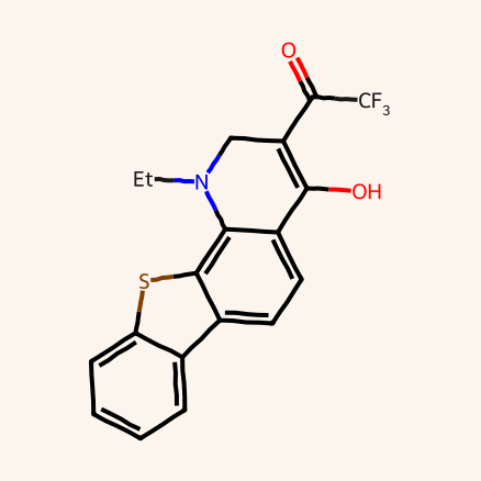 CCN1CC(C(=O)C(F)(F)F)=C(O)c2ccc3c(sc4ccccc43)c21